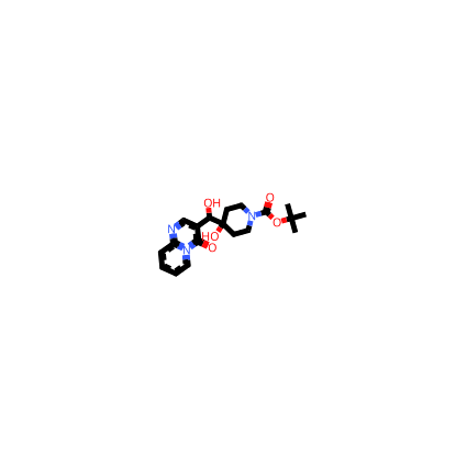 CC(C)(C)OC(=O)N1CCC(O)(C(O)c2cnc3ccccn3c2=O)CC1